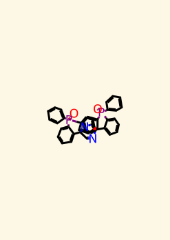 O=P(c1ccccc1)(c1ccccc1)c1ccccc1-c1cnc(-c2ccccc2P(=O)(c2ccccc2)c2ccccc2)cn1